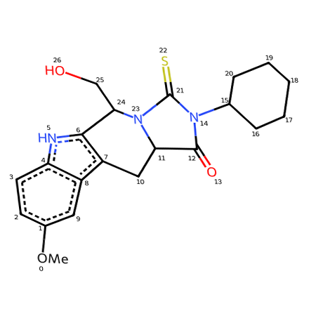 COc1ccc2[nH]c3c(c2c1)CC1C(=O)N(C2CCCCC2)C(=S)N1C3CO